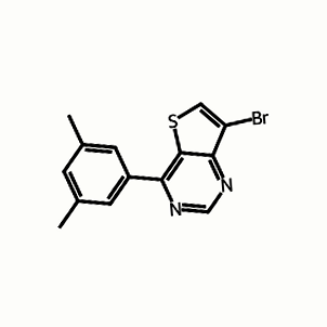 Cc1cc(C)cc(-c2ncnc3c(Br)csc23)c1